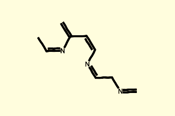 C=NC/C=N\C=C/C(=C)/N=C\C